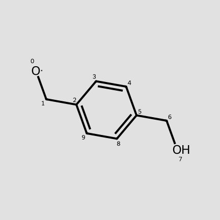 [O]Cc1ccc(CO)cc1